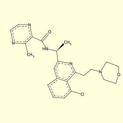 Cc1nccnc1C(=O)N[C@@H](C)c1cc2cccc(Cl)c2c(CCN2CCOCC2)n1